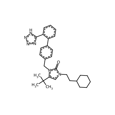 CC(C)(C)c1cn(CCC2CCCCC2)c(=O)n1Cc1ccc(-c2ccccc2-c2nnn[nH]2)cc1